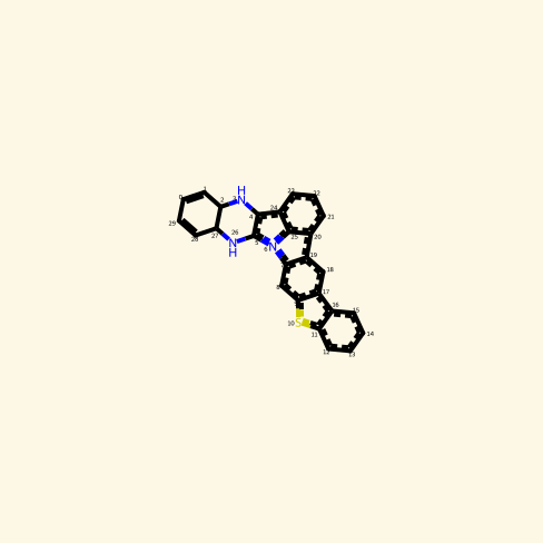 C1=CC2Nc3c(n4c5cc6sc7ccccc7c6cc5c5cccc3c54)NC2C=C1